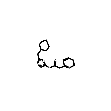 O=C(CC1=NCCC=C1)Nc1nnc(CC2CCCCC2)s1